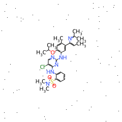 C/C=C(\N=C(C)C)c1cc(Nc2ncc(Cl)c(Nc3ccccc3S(=O)(=O)N(C)C)n2)c(OC(C)C)cc1C